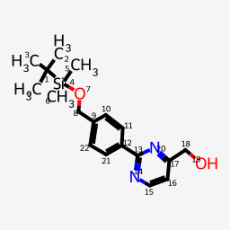 CC(C)(C)[Si](C)(C)OCc1ccc(-c2nccc(CO)n2)cc1